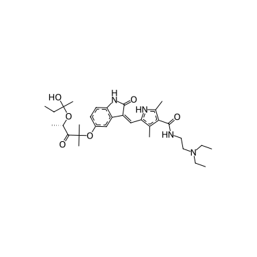 CCN(CC)CCNC(=O)c1c(C)[nH]c(/C=C2\C(=O)Nc3ccc(OC(C)(C)C(=O)[C@H](C)OC(C)(O)CC)cc32)c1C